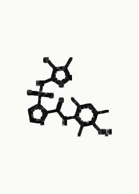 Cc1cc(C)c(C(=O)O)c(C)c1NC(=O)c1sccc1S(=O)(=O)Nc1onc(C)c1Cl